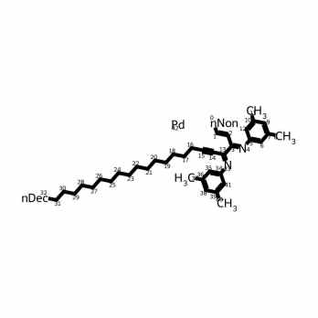 CCCCCCCCC/C=C/C(=N\c1cc(C)cc(C)c1)C(/C#CCCCCCCCCCCCCCCCCCCCCCCCCCC)=N/c1cc(C)cc(C)c1.[Pd]